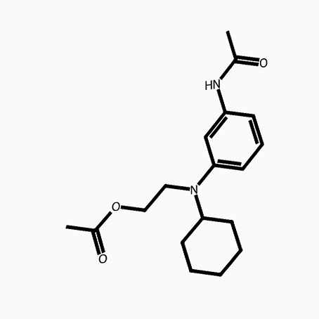 CC(=O)Nc1cccc(N(CCOC(C)=O)C2CCCCC2)c1